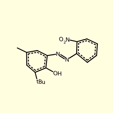 Cc1cc(N=Nc2ccccc2[N+](=O)[O-])c(O)c(C(C)(C)C)c1